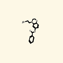 O=C(Oc1ccc2c(c1)N(CCBr)CCO2)c1ccccc1